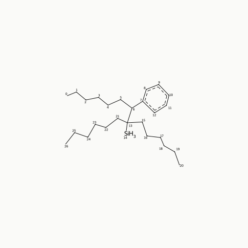 CCCCCCC(c1ccccc1)C([SiH3])(CCCCCC)CCCCCC